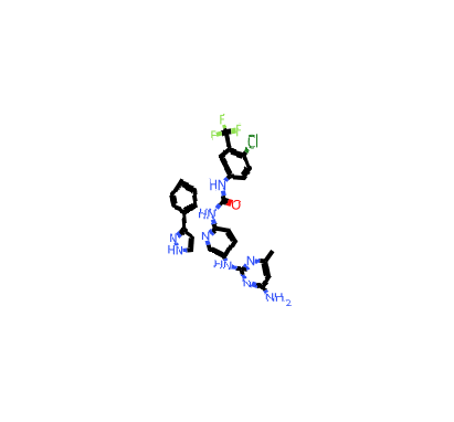 Cc1cc(N)nc(Nc2ccc(NC(=O)Nc3ccc(Cl)c(C(F)(F)F)c3)nc2)n1.c1ccc(-c2cc[nH]n2)cc1